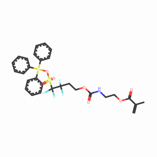 C=C(C)C(=O)OCCNC(=O)OCCC(F)(F)C(F)(F)S(=O)(=O)OS(c1ccccc1)(c1ccccc1)c1ccccc1